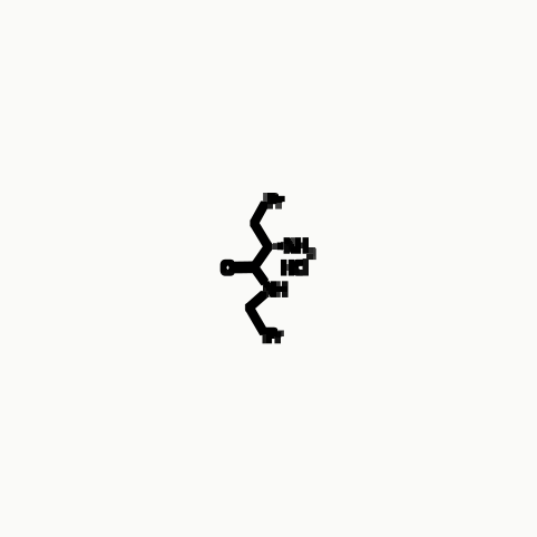 CC(C)CNC(=O)[C@@H](N)CC(C)C.Cl